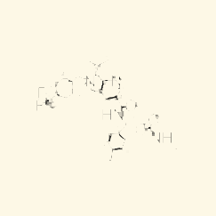 Cc1ccc([C@@H](COC(N)=O)NC(=O)c2cnc3c(c2)CN(C[C@H]2CC[C@H](C(F)(F)F)CC2)[C@H]3C(C)C)cc1